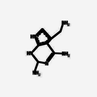 NCc1c[nH]c2c1C(N)=NC(N)N2